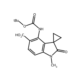 CN1C(=O)C2(CC2)c2c1ccc(C(=O)O)c2NC(=O)OC(C)(C)C